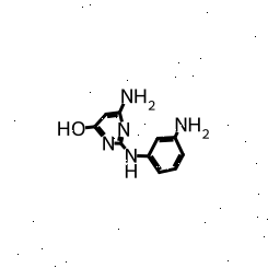 Nc1cccc(Nc2nc(N)cc(O)n2)c1